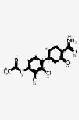 CC(=O)Oc1ccc(C2=CC(=O)C(C(N)=O)CC2)c(Cl)c1Cl